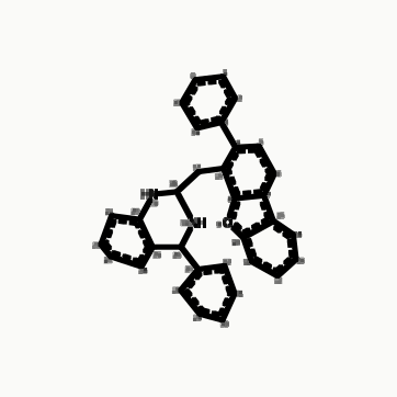 c1ccc(-c2ccc3c(oc4ccccc43)c2CC2Nc3ccccc3C(c3ccccc3)N2)cc1